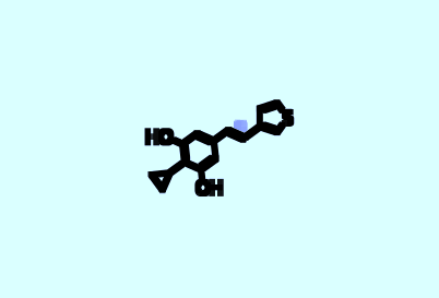 Oc1cc(/C=C/c2ccsc2)cc(O)c1C1CC1